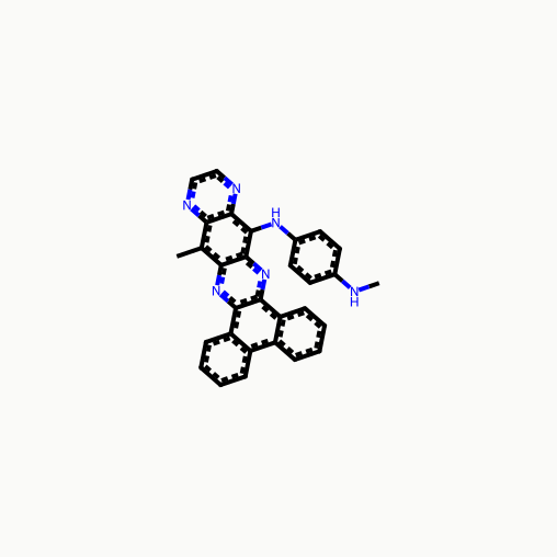 CNc1ccc(Nc2c3nccnc3c(C)c3nc4c5ccccc5c5ccccc5c4nc23)cc1